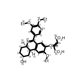 CCOc1cc2c(cc1OC)C(c1cnc(OCC)c(OCC)c1)=N[C@@H]1CC[C@@H](O)C[C@H]21.O=C(O)/C=C/C(=O)O